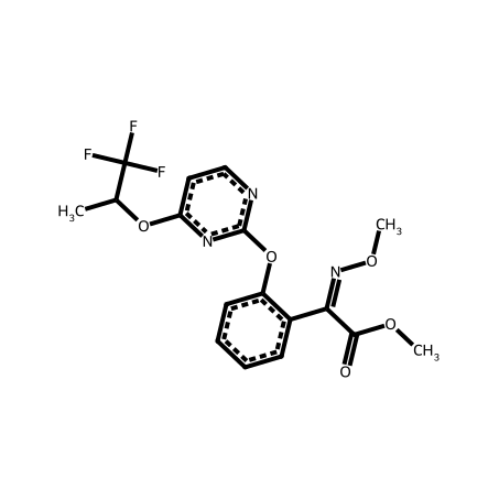 CON=C(C(=O)OC)c1ccccc1Oc1nccc(OC(C)C(F)(F)F)n1